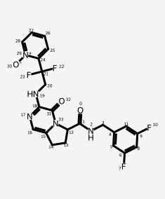 O=C(NCc1cc(F)cc(F)c1)C1CCc2cnc(NCC(F)(F)c3cccc[n+]3[O-])c(=O)n21